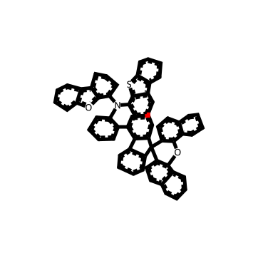 c1ccc(N(c2cccc3c2oc2ccccc23)c2cccc3c2sc2ccccc23)c(-c2cccc3c2-c2ccccc2C32c3ccc4ccccc4c3Oc3c2ccc2ccccc32)c1